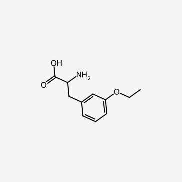 CCOc1cccc(CC(N)C(=O)O)c1